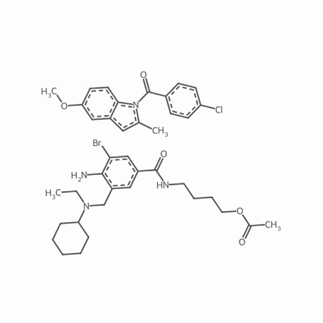 CCN(Cc1cc(C(=O)NCCCCOC(C)=O)cc(Br)c1N)C1CCCCC1.COc1ccc2c(c1)cc(C)n2C(=O)c1ccc(Cl)cc1